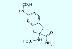 NC(=O)C1(NC(=O)O)Cc2ccc(NC(=O)O)cc2C1